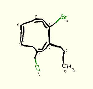 CCc1c(Cl)[c]ccc1Br